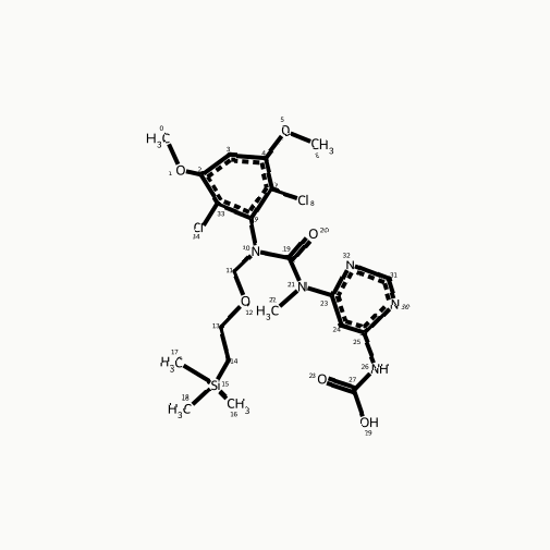 COc1cc(OC)c(Cl)c(N(COCC[Si](C)(C)C)C(=O)N(C)c2cc(NC(=O)O)ncn2)c1Cl